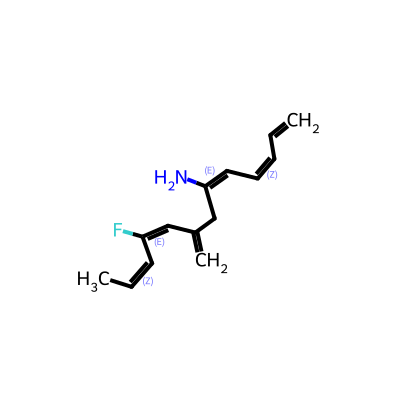 C=C/C=C\C=C(\N)CC(=C)/C=C(F)\C=C/C